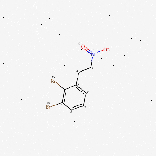 O=[N+]([O-])CCc1cccc(Br)c1Br